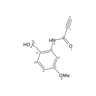 C#CC(=O)Nc1cc(OC)ccc1C(=O)O